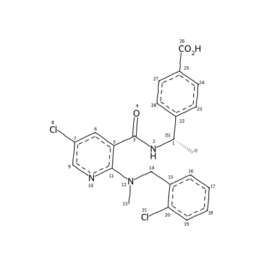 C[C@H](NC(=O)c1cc(Cl)cnc1N(C)Cc1ccccc1Cl)c1ccc(C(=O)O)cc1